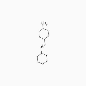 CC1CCC(C=CC2CCCCC2)CC1